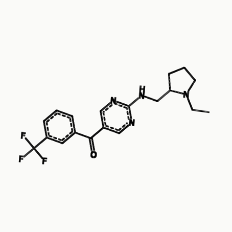 CCN1CCCC1CNc1ncc(C(=O)c2cccc(C(F)(F)F)c2)cn1